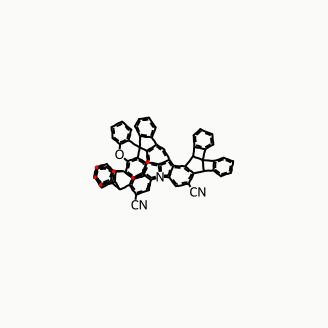 N#Cc1cc2c(c3c1C1c4ccccc4C3c3ccccc31)c1c3c(cc4c5c6c(c(C#N)cc5n2c41)C1c2ccccc2C12c1ccccc1C62)-c1ccccc1C31c2ccccc2Oc2ccccc21